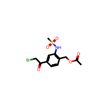 CC(=O)OCc1ccc(C(=O)CBr)cc1NS(C)(=O)=O